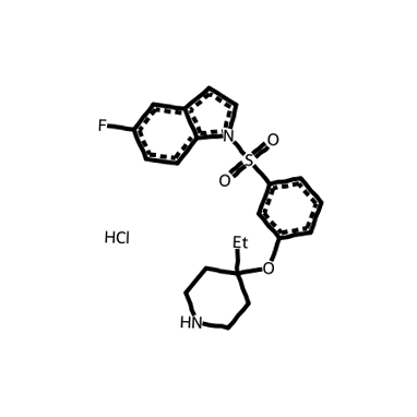 CCC1(Oc2cccc(S(=O)(=O)n3ccc4cc(F)ccc43)c2)CCNCC1.Cl